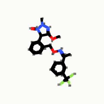 COC1=NN(C)[N+](=O)C1c1ccccc1CON=C(C)c1cccc(C(F)(F)F)c1